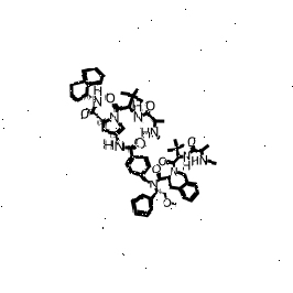 CNC(C)C(=O)NC(C(=O)N1Cc2ccccc2CC1C(=O)N(Cc1ccc(C(=O)N[C@H]2C[C@@H](C(=O)N[C@@H]3CCCc4ccccc43)N(C(=O)C(NC(=O)C(C)NC)C(C)(C)C)C2)cc1)[C@@H](COC)c1ccccc1)C(C)(C)C